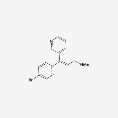 CNCC=C(c1ccc(Br)cc1)c1cccnc1